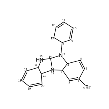 BrC1=CC2C(C=C1)N(C1C=CC=CC1)C1NC3C=CC=CC3N21